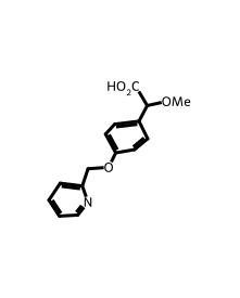 COC(C(=O)O)c1ccc(OCc2ccccn2)cc1